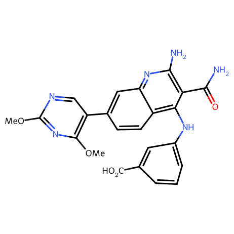 COc1ncc(-c2ccc3c(Nc4cccc(C(=O)O)c4)c(C(N)=O)c(N)nc3c2)c(OC)n1